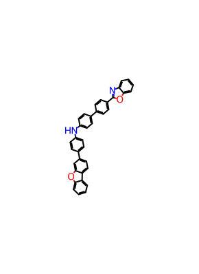 c1ccc2oc(-c3ccc(-c4ccc(Nc5ccc(-c6ccc7c(c6)oc6ccccc67)cc5)cc4)cc3)nc2c1